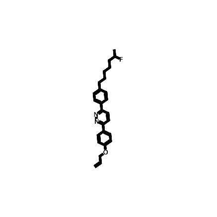 C=CCOc1ccc(-c2ccc(-c3ccc(CCCCCC(C)F)cc3)nn2)cc1